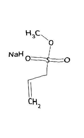 C=CCS(=O)(=O)OC.[NaH]